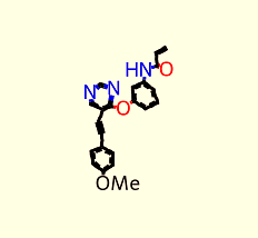 C=CC(=O)Nc1cccc(Oc2ncncc2C#Cc2ccc(OC)cc2)c1